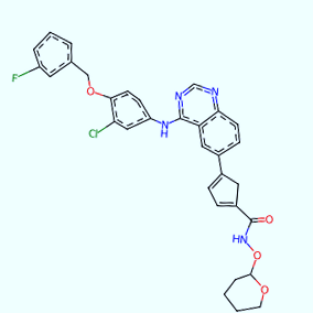 O=C(NOC1CCCCO1)C1=CC=C(c2ccc3ncnc(Nc4ccc(OCc5cccc(F)c5)c(Cl)c4)c3c2)C1